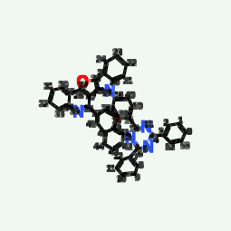 c1ccc(-c2nc(-c3ccccc3)nc(-c3ccc(-n4c5ccccc5c5oc6c7ccccc7nc(-c7ccc8ccccc8c7)c6c54)cc3)n2)cc1